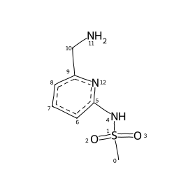 CS(=O)(=O)Nc1cccc(CN)n1